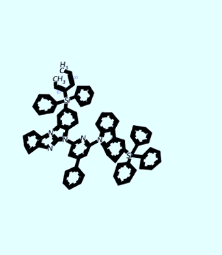 C/C=C\C(=C/C)[Si](c1ccccc1)(c1ccccc1)c1ccc2c(c1)n1c3ccccc3nc1n2-c1cc(-c2ccccc2)cc(-n2c3ccccc3c3cc([Si](c4ccccc4)(c4ccccc4)c4ccccc4)ccc32)n1